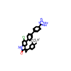 Cc1ccc(C2CC23C(=O)Nc2cc(Cl)c(-c4ccc(-c5ccc(C6=NNNN6)cc5)cc4)cc23)cc1C(=O)O